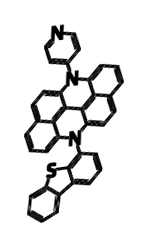 c1ccc2c(c1)sc1c(-n3c4ccc5cccc6c5c4-c4c5c(cccc53)ccc4n6-c3ccncc3)cccc12